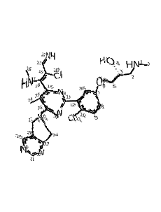 CNC[C@@H](O)COc1ccc(Cl)c(-c2nc(/C(NC)=C(\Cl)C=N)c(C)c(N3Cc4cncnc4C3)n2)c1